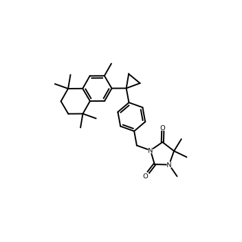 Cc1cc2c(cc1C1(c3ccc(CN4C(=O)N(C)C(C)(C)C4=O)cc3)CC1)C(C)(C)CCC2(C)C